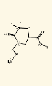 COC(=O)C1CN(CCN)C(=O)C(C)(C)C1